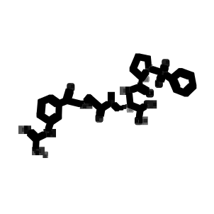 N=C(N)Nc1cccc(C(=O)NCC(=O)NC[C@H](NC(=O)[C@@H]2CCCN2S(=O)(=O)c2ccccc2)C(O)O)c1